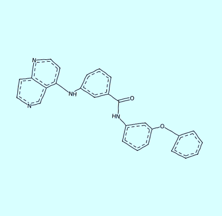 O=C(Nc1cccc(Oc2ccccc2)c1)c1cccc(Nc2ccnc3ccncc23)c1